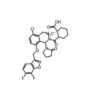 C[C@]1(C(=O)O)CCCCC1C(=O)N1CCc2c(Cl)ccc(OCc3noc4c(F)c(F)ccc34)c2C1N1CCCC1=O